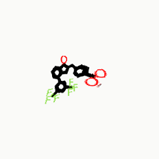 COC(=O)c1ccc(CC2Cc3c(cccc3-c3cc(C(F)(F)F)cc(C(F)(F)F)c3)C2=O)cc1